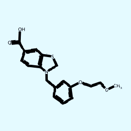 COCCOc1cccc(CN2CSc3cc(C(=O)O)ccc32)c1